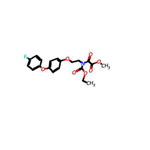 CCOC(=O)N(CCOc1ccc(Oc2ccc(F)cc2)cc1)C(=O)C(=O)OC